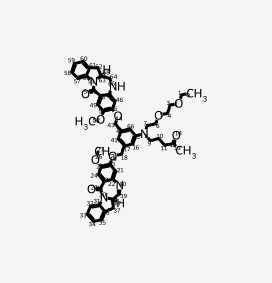 CCOCCOCCN(CCCC(C)=O)c1cc(COc2cc3c(cc2OC)C(=O)N2c4ccccc4C[C@H]2C=N3)cc(COc2cc3c(cc2OC)C(=O)N2c4ccccc4C[C@H]2CN3)c1